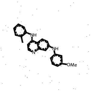 COc1cccc(Nc2ccc3c(Nc4ccccc4C)ccnc3c2)c1